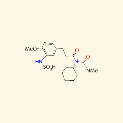 CNC(=O)N(C(=O)CCc1ccc(OC)c(NS(=O)(=O)O)c1)C1CCCCC1